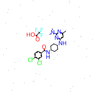 Cc1cc(N[C@H]2CC[C@@H](NC(=O)c3ccc(Cl)c(Cl)c3)CC2)nc(N(C)C)n1.O=C(O)C(F)(F)F